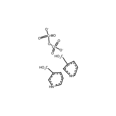 O=C(O)c1ccc[nH+]c1.O=C(O)c1ccc[nH+]c1.[O]=[Cr](=[O])([O-])[O][Cr](=[O])(=[O])[O-]